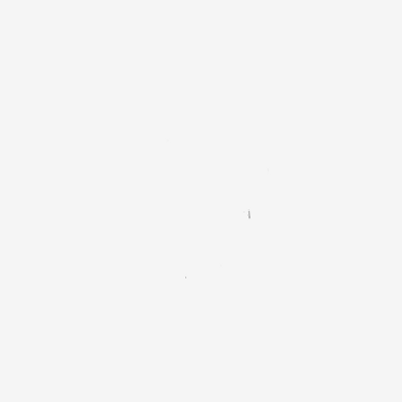 C#CCC(COP(N[C@@H](C)C(=O)OC(C)C)Oc1ccccc1)OC